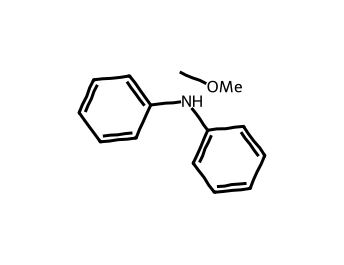 COC.c1ccc(Nc2ccccc2)cc1